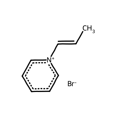 CC=C[n+]1ccccc1.[Br-]